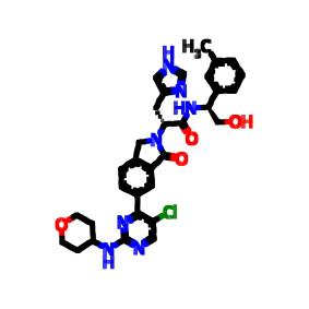 Cc1cccc([C@@H](CO)NC(=O)[C@@H](Cc2c[nH]cn2)N2Cc3ccc(-c4nc(NC5CCOCC5)ncc4Cl)cc3C2=O)c1